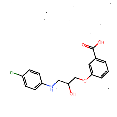 O=C(O)c1cccc(OCC(O)CNc2ccc(Cl)cc2)c1